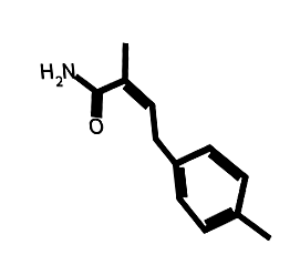 CC(=CCc1ccc(C)cc1)C(N)=O